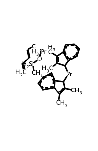 C=CC=CC.CC1=C(C)[CH]([Zr][CH]2C(C)=C(C)c3ccccc32)c2ccccc21.C[SiH2]OC(C)C